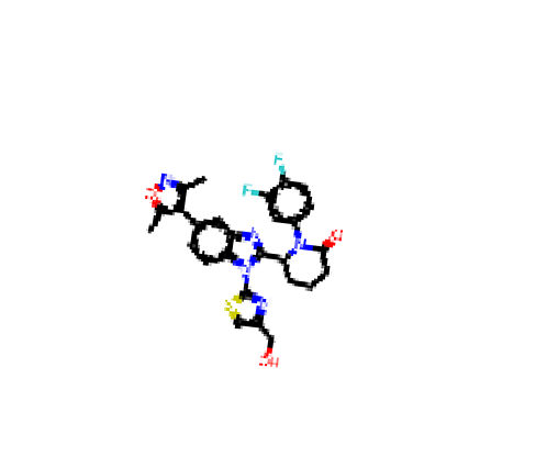 Cc1noc(C)c1-c1ccc2c(c1)nc(C1CCCC(=O)N1c1ccc(F)c(F)c1)n2-c1nc(CO)cs1